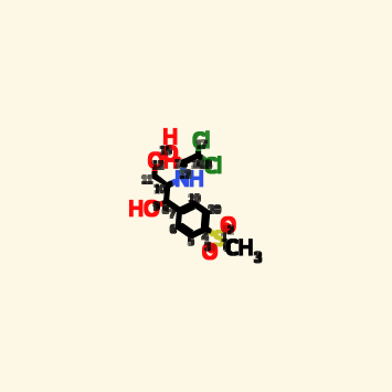 CS(=O)(=O)c1ccc([C@@H](O)[C@@H](CO)N[C@H](O)C(Cl)Cl)cc1